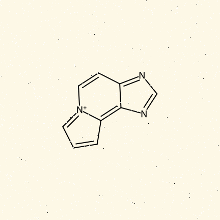 C1=Cc2c3c(cc[n+]2=C1)=NC=N3